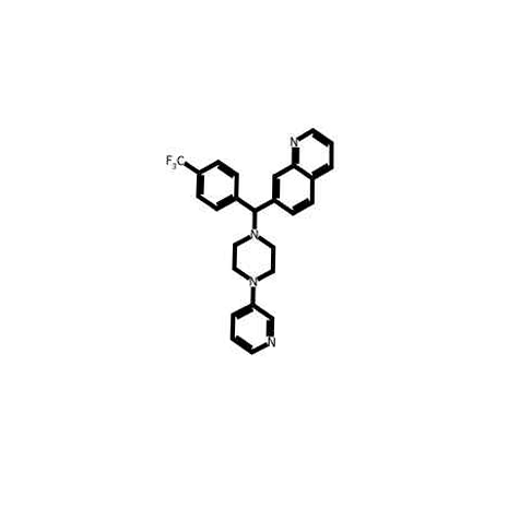 FC(F)(F)c1ccc(C(c2ccc3cccnc3c2)N2CCN(c3cccnc3)CC2)cc1